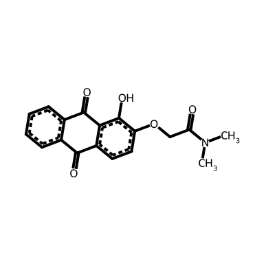 CN(C)C(=O)COc1ccc2c(c1O)C(=O)c1ccccc1C2=O